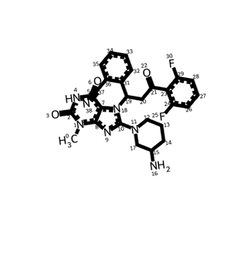 Cn1c(=O)[nH]c(=O)c2c1nc(N1CCCC(N)C1)n2C(CC(=O)c1c(F)cccc1F)c1ccccc1C#N